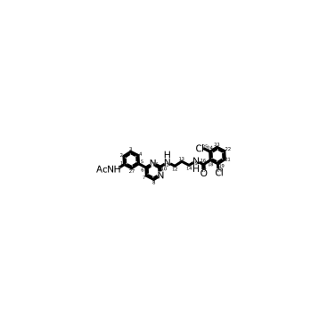 CC(=O)Nc1cccc(-c2ccnc(NCCCNC(=O)c3c(Cl)cccc3Cl)n2)c1